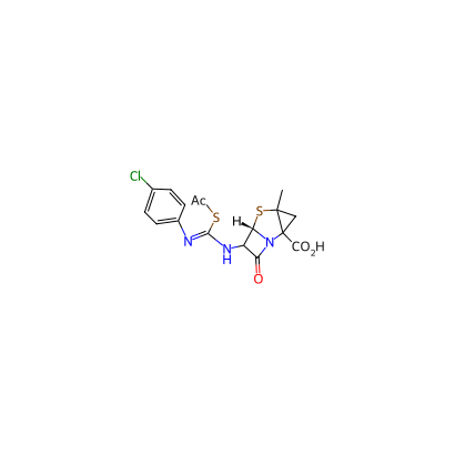 CC(=O)SC(=Nc1ccc(Cl)cc1)NC1C(=O)N2[C@H]1SC1(C)CC21C(=O)O